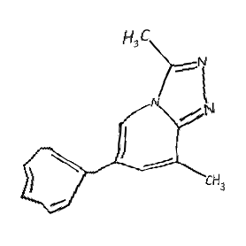 Cc1cc(-c2ccccc2)cn2c(C)nnc12